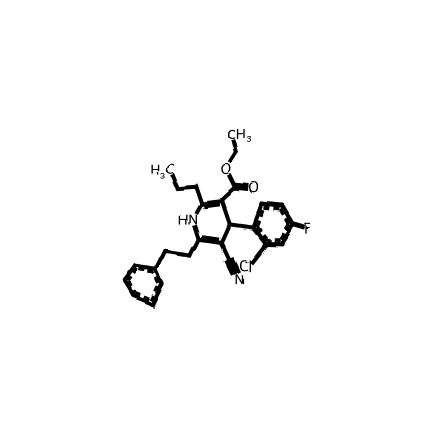 CCCC1=C(C(=O)OCC)C(c2ccc(F)cc2Cl)C(C#N)=C(CCc2ccccc2)N1